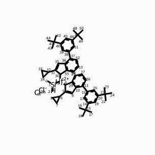 C[SiH](C)[Hf+2]([CH]1C(C2CC2)=Cc2c(-c3cc(C(C)(C)C)cc(C(C)(C)C)c3)cccc21)[CH]1C(C2CC2)=Cc2c(-c3cc(C(C)(C)C)cc(C(C)(C)C)c3)cccc21.[Cl-].[Cl-]